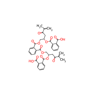 C=C(C)C(=O)CC(COC(=O)c1ccccc1C(=O)OCC(CC(=O)C(=C)C)OC(=O)c1ccccc1C(=O)O)OC(=O)c1ccccc1C(=O)O